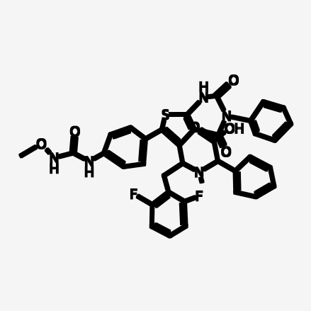 CONC(=O)Nc1ccc(-c2sc3[nH]c(=O)n(-c4ccccc4)c(=O)c3c2C(Cc2c(F)cccc2F)N(C)C(C(=O)O)c2ccccc2)cc1